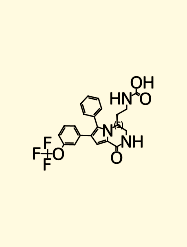 O=C(O)NCC[C@H]1CNC(=O)c2cc(-c3cccc(OC(F)(F)F)c3)c(-c3ccccc3)n21